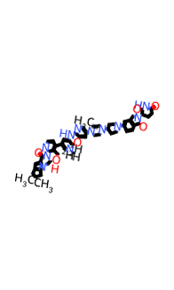 [2H]C([2H])([2H])n1cc(-c2ccnc(N3CCn4c(cc5c4CC(C)(C)C5)C3=O)c2CO)cc(Nc2ccc(N3CCN(C4CCN(c5ccc6c(c5)CN(C5CCC(=O)NC5=O)C6=O)CC4)C[C@@H]3C)cn2)c1=O